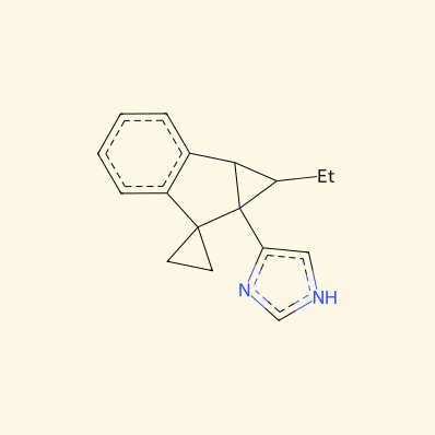 CCC1C2c3ccccc3C3(CC3)C12c1c[nH]cn1